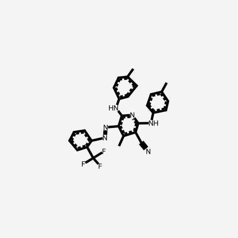 Cc1ccc(Nc2nc(Nc3ccc(C)cc3)c(N=Nc3ccccc3C(F)(F)F)c(C)c2C#N)cc1